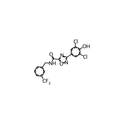 O=C(NCc1cccc(C(F)(F)F)c1)c1nc(-c2cc(Cl)c(O)c(Cl)c2)no1